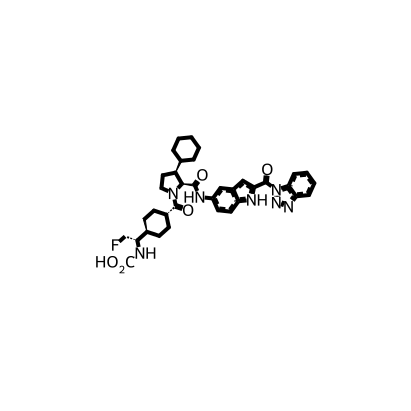 O=C(O)N[C@H](CF)[C@H]1CC[C@H](C(=O)N2CC[C@@H](C3CCCCC3)[C@H]2C(=O)Nc2ccc3[nH]c(C(=O)n4nnc5ccccc54)cc3c2)CC1